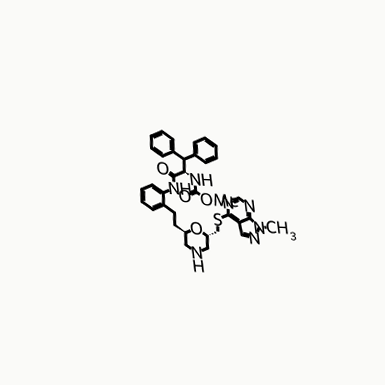 COC(=O)N[C@H](C(=O)Nc1ccccc1CC[C@@H]1CNC[C@@H](CSc2ncnc3c2cnn3C)O1)C(c1ccccc1)c1ccccc1